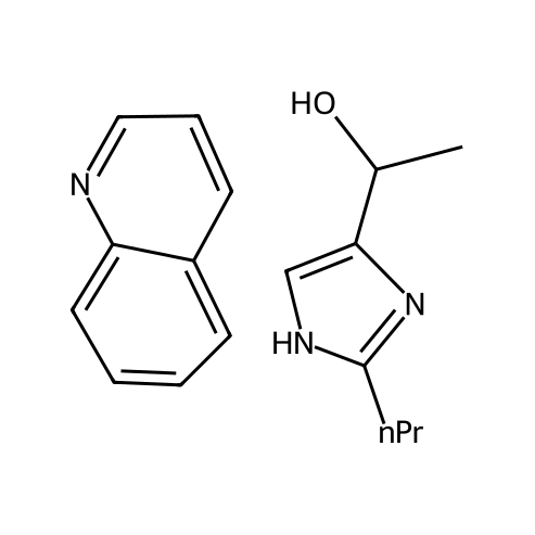 CCCc1nc(C(C)O)c[nH]1.c1ccc2ncccc2c1